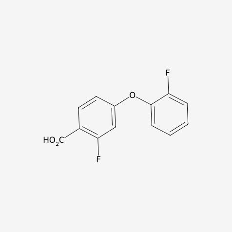 O=C(O)c1ccc(Oc2ccccc2F)cc1F